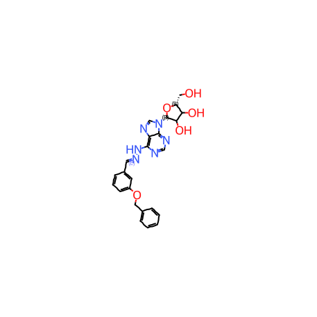 OC[C@H]1O[C@@H](n2cnc3c(N/N=C/c4cccc(OCc5ccccc5)c4)ncnc32)C(O)C1O